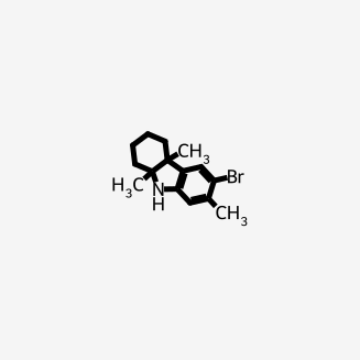 Cc1cc2c(cc1Br)C1(C)CCCCC1(C)N2